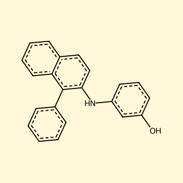 Oc1cccc(Nc2ccc3ccccc3c2-c2ccccc2)c1